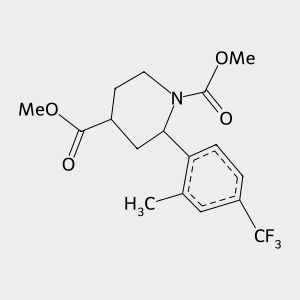 COC(=O)C1CCN(C(=O)OC)C(c2ccc(C(F)(F)F)cc2C)C1